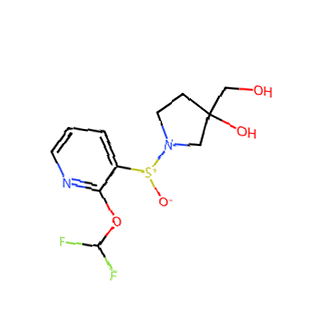 [O-][S+](c1cccnc1OC(F)F)N1CCC(O)(CO)C1